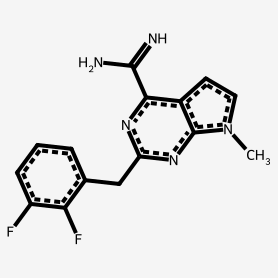 Cn1ccc2c(C(=N)N)nc(Cc3cccc(F)c3F)nc21